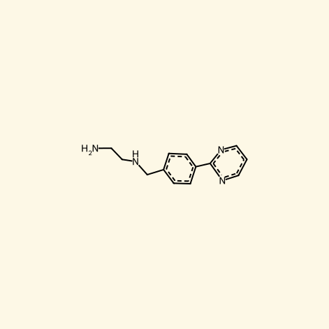 NCCNCc1ccc(-c2ncccn2)cc1